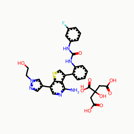 Nc1ncc(-c2cnn(CCO)c2)c2scc(-c3ccccc3NC(=O)Nc3cccc(F)c3)c12.O=C(O)CC(O)(CC(=O)O)C(=O)O